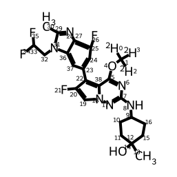 [2H]C([2H])([2H])Oc1nc(NC2CCC(C)(O)CC2)nn2cc(F)c(-c3cc(F)c4nc(C)n(CC(F)F)c4c3)c12